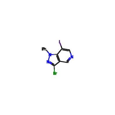 CC(C)n1nc(Br)c2[c]ncc(I)c21